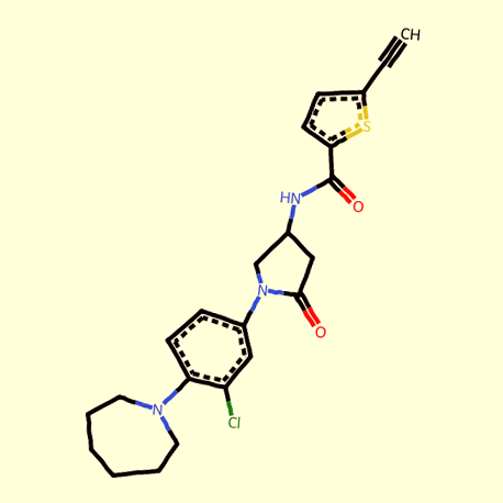 C#Cc1ccc(C(=O)NC2CC(=O)N(c3ccc(N4CCCCCC4)c(Cl)c3)C2)s1